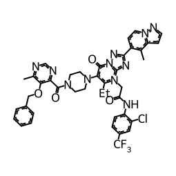 CCc1c(N2CCN(C(=O)c3ncnc(C)c3OCc3ccccc3)CC2)c(=O)n2nc(-c3ccn4nccc4c3C)nc2n1CC(=O)Nc1ccc(C(F)(F)F)cc1Cl